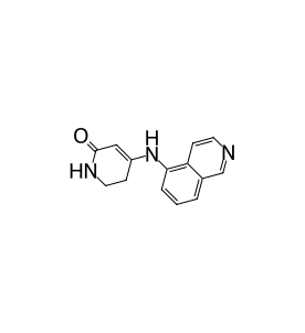 O=C1C=C(Nc2cccc3cnccc23)CCN1